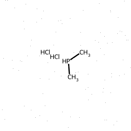 CPC.Cl.Cl